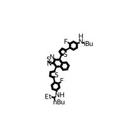 CCCCC(CC)Nc1ccc(-c2ccc(-c3c4ccccc4c(-c4ccc(-c5ccc(NC(C)CC)cc5F)s4)c4nsnc34)s2)c(F)c1